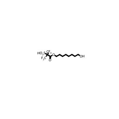 O=C(OCCCCCCCCO)C(C(F)(F)F)(C(F)(F)F)S(=O)(=O)O